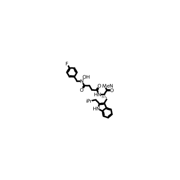 CNC(=O)[C@H](Cc1c(CC(C)C)[nH]c2ccccc12)NC(=O)CCC(=O)N(O)Cc1ccc(F)cc1